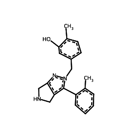 Cc1ccc(Cn2nc3c(c2-c2ccccc2C)CNC3)cc1O